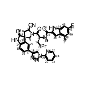 CC(C)C[C@@H](C(=O)N1C[C@]2(CC1C#N)C(=O)Nc1ccc(-c3cn(-c4ccccn4)nn3)cc12)N(C)C(=O)c1cc2c(F)cc(F)cc2[nH]1